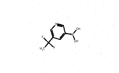 CC(F)(F)c1cncc(B(O)O)c1